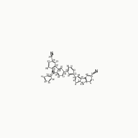 N#Cc1ccc2sc3ccc(-c4cccc(-c5ccc6c(c5)c5cc(C#N)ccc5n6-c5ccccc5)c4)cc3c2c1